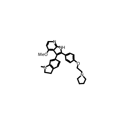 COc1ccnc2[nH]c(-c3ccc(OCCN4CCCC4)cc3)c(-c3ccc4c(c3)N(C)CC4)c12